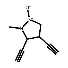 C#CC1C[S+]([O-])N(C)C1C#C